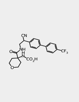 N#CC(CNC(=O)C1(NC(=O)O)CCOCC1)c1ccc(-c2ccc(C(F)(F)F)cc2)cc1